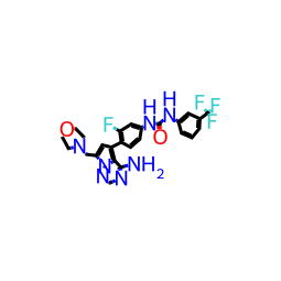 Nc1ncnn2c(CN3CCOCC3)cc(-c3ccc(NC(=O)Nc4cccc(C(F)(F)F)c4)cc3F)c12